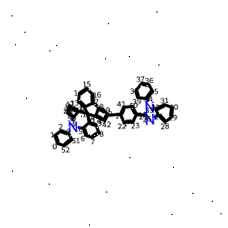 c1ccc(N2c3ccccc3C3(c4ccccc4-c4cc(-c5ccc(-c6nc7ccccc7n6-c6ccccc6)cc5)ccc43)c3ccccc32)cc1